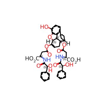 O=C(C[C@H](NC(=O)[C@@H](O)c1ccccc1)C(=O)O)OC1=CC[C@]2(OC(=O)C[C@H](NC(=O)[C@@H](O)c3ccccc3)C(=O)O)[C@H]3CCC[C@]24c2c(ccc(O)c2O[C@H]14)C3